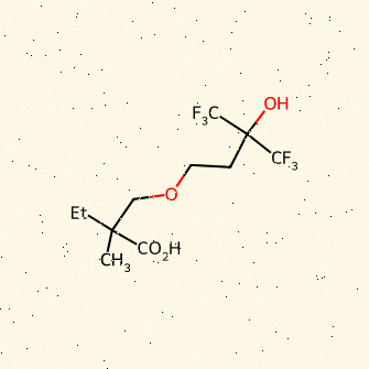 CCC(C)(COCCC(O)(C(F)(F)F)C(F)(F)F)C(=O)O